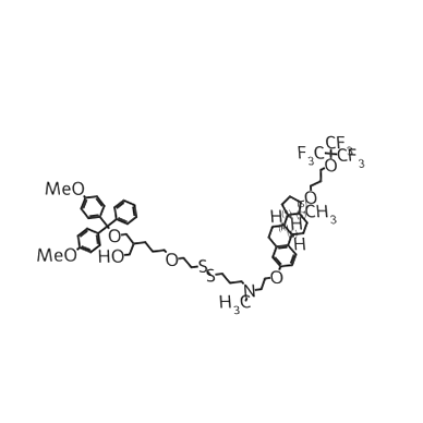 COc1ccc(C(OCC(CO)CCCOCCSSCCCN(C)CCOc2ccc3c(c2)CC[C@@H]2[C@@H]3CC[C@]3(C)[C@@H](OCCCOC(C(F)(F)F)(C(F)(F)F)C(F)(F)F)CC[C@@H]23)(c2ccccc2)c2ccc(OC)cc2)cc1